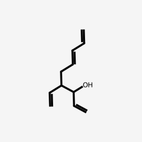 C=CC=CCC(C=C)C(O)C=C